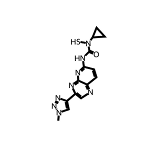 Cn1cc(-c2cnc3ccc(NC(=O)N(S)C4CC4)nc3n2)nn1